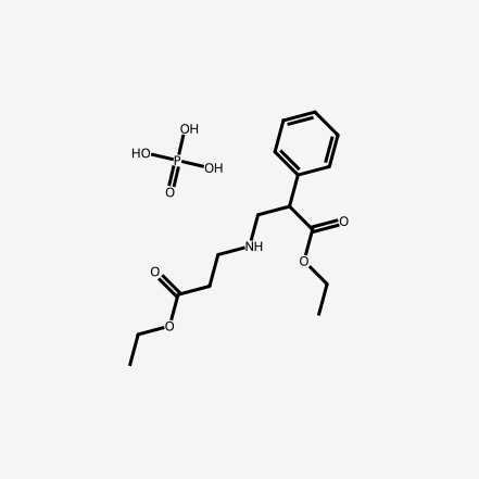 CCOC(=O)CCNCC(C(=O)OCC)c1ccccc1.O=P(O)(O)O